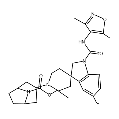 CCOC(=O)N1C2CCC1CC(N1CCC3(CC1)CN(C(=O)Nc1c(C)noc1C)c1ccc(F)cc13)C2